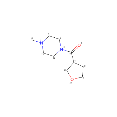 CN1CCN(C(=O)C2CCOC2)CC1